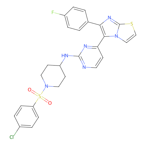 O=S(=O)(c1ccc(Cl)cc1)N1CCC(Nc2nccc(-c3c(-c4ccc(F)cc4)nc4sccn34)n2)CC1